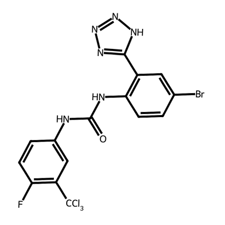 O=C(Nc1ccc(F)c(C(Cl)(Cl)Cl)c1)Nc1ccc(Br)cc1-c1nnn[nH]1